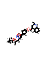 Cc1cc(COc2ccc(-c3cc(CC(C)O[Si](C)(C)C(C)(C)C)no3)cc2)c2ccccc2n1